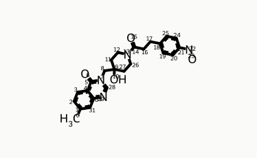 Cc1ccc2c(=O)n(CC3(O)CCN(C(=O)CCc4ccc(N=O)cc4)CC3)cnc2c1